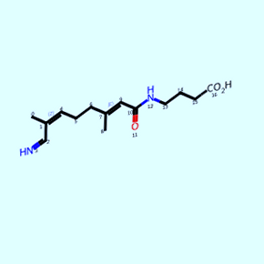 C/C(C=N)=C/CC/C(C)=C/C(=O)NCCCC(=O)O